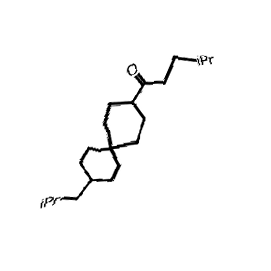 CC(C)CCC(=O)C1CCC2(CCC(CC(C)C)CC2)CC1